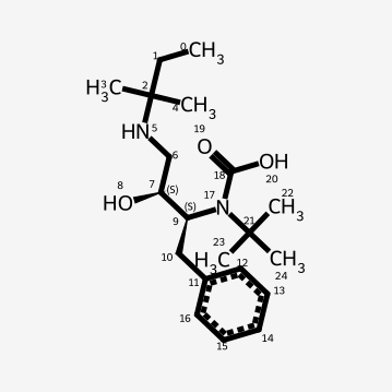 CCC(C)(C)NC[C@H](O)[C@H](Cc1ccccc1)N(C(=O)O)C(C)(C)C